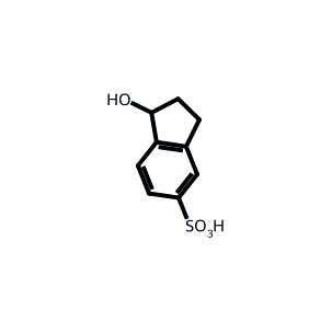 O=S(=O)(O)c1ccc2c(c1)CCC2O